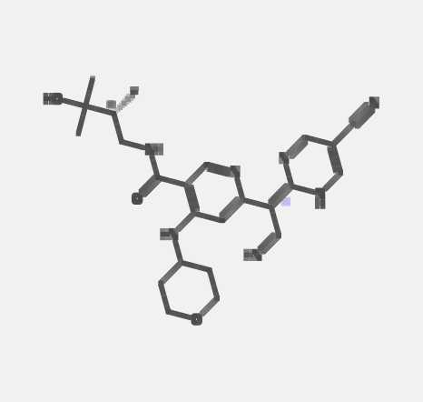 CC(C)(O)[C@H](F)CNC(=O)c1cnc(/C(C=N)=C2\N=CC(C#N)=CN2)cc1NC1CCOCC1